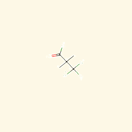 CC(C)(C(=O)Cl)C(Br)(Br)Br